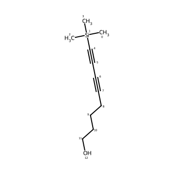 C[Si](C)(C)C#CC#CCCCCO